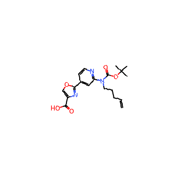 C=CCCCN(C(=O)OC(C)(C)C)c1cc(-c2nc(C(=O)O)co2)ccn1